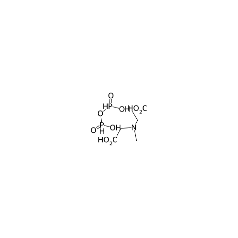 CN(CC(=O)O)CC(=O)O.O=[PH](O)O[PH](=O)O